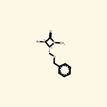 CC(=O)[C@H]1C(=O)N(C)[C@@H]1COCc1ccccc1